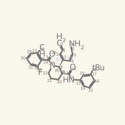 C=C/C=C(\C=C/CN)[C@H]1[C@@H](C(=O)Nc2cccc(C(C)(C)C)c2)CCCN1C(=O)c1c(C)cccc1F